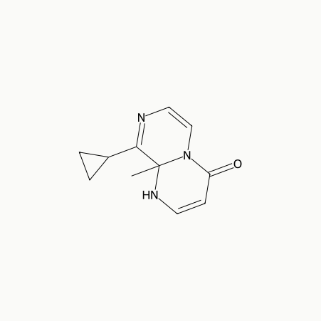 CC12NC=CC(=O)N1C=CN=C2C1CC1